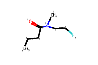 CCCC(=O)N(C)CCF